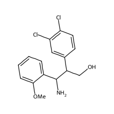 COc1ccccc1C(N)C(CO)c1ccc(Cl)c(Cl)c1